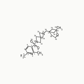 Cc1nc(C(F)(F)F)ccc1S(=O)(=O)N1CC2(CN(CC34CCOC(C)(C3)C4)C2)C1